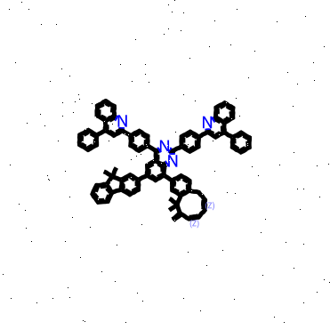 C=C1/C=C\C=C/Cc2ccc(-c3cc(-c4ccc5c(c4)C(C)(C)c4ccccc4-5)cc4c(-c5ccc(-c6cc(-c7ccccc7)c7ccccc7n6)cc5)nc(-c5ccc(-c6cc(-c7ccccc7)c7ccccc7n6)cc5)nc34)cc2C1(C)C